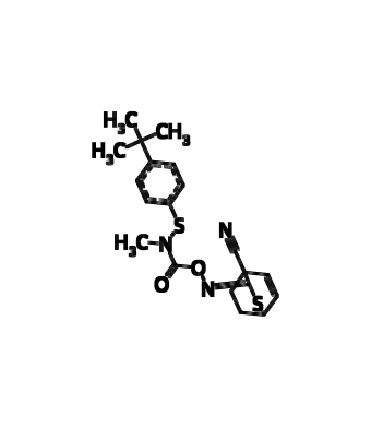 CN(Sc1ccc(C(C)(C)C)cc1)C(=O)ON=C1SC2C=CC1(C#N)CC2